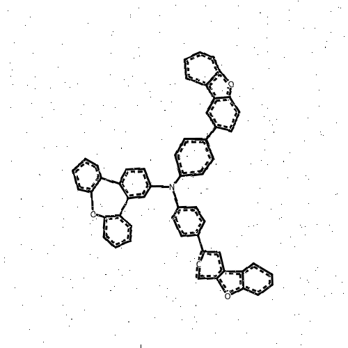 c1ccc2c(c1)Oc1ccccc1-c1cc(N(c3ccc(-c4ccc5oc6ccccc6c5c4)cc3)c3ccc(-c4ccc5oc6ccccc6c5c4)cc3)ccc1-2